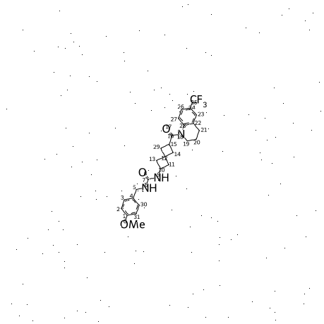 COc1ccc(CNC(=O)NC2CC3(C2)CC(C(=O)N2CCCc4cc(C(F)(F)F)ccc42)C3)cc1